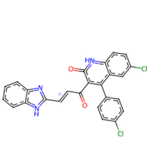 O=C(/C=C/c1nc2ccccc2[nH]1)c1c(-c2ccc(Cl)cc2)c2cc(Cl)ccc2[nH]c1=O